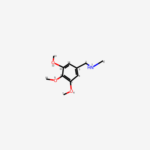 [CH2]NCc1cc(OC)c(OC)c(OC)c1